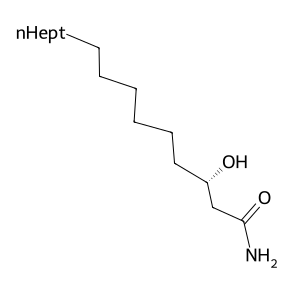 CCCCCCCCCCCCC[C@H](O)CC(N)=O